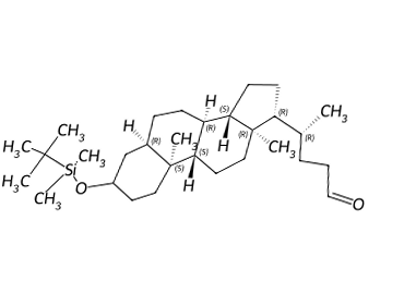 C[C@H](CCC=O)[C@H]1CC[C@H]2[C@@H]3CC[C@@H]4CC(O[Si](C)(C)C(C)(C)C)CC[C@]4(C)[C@H]3CC[C@]12C